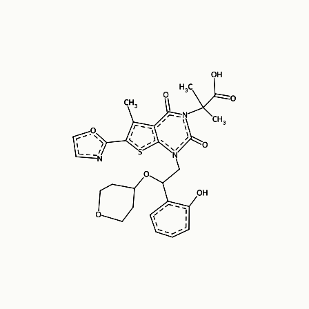 Cc1c(-c2ncco2)sc2c1c(=O)n(C(C)(C)C(=O)O)c(=O)n2CC(OC1CCOCC1)c1ccccc1O